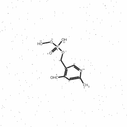 Cc1cc(C=O)c(COP(=O)(O)OO)cn1